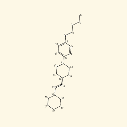 CCCCCc1ccc([C@H]2CC[C@H](C=CC3CCCCC3)CC2)cc1